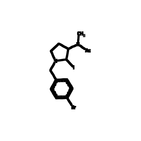 CC(=O)N(C)C1CCN(Cc2ccc(Br)cc2)C1I